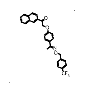 CC(=NOCc1ccc(C(F)(F)F)cc1)c1ccc(OCC(=O)c2ccc3ccccc3c2)cc1